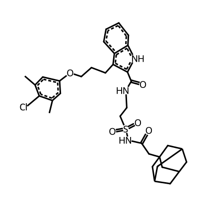 Cc1cc(OCCCc2c(C(=O)NCCS(=O)(=O)NC(=O)CC34CC5CC(CC(C5)C3)C4)[nH]c3ccccc23)cc(C)c1Cl